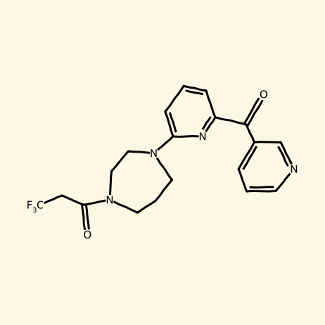 O=C(c1cccnc1)c1cccc(N2CCCN(C(=O)CC(F)(F)F)CC2)n1